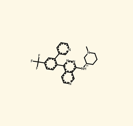 CN1CCC[C@@H](Nc2nnc(-c3ccc(C(F)(F)F)cc3-c3cccnc3)c3ccncc23)C1